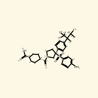 Nc1ccc(S(=O)(=O)[C@@]2(c3ccc(C(F)(C(F)(F)F)C(F)(F)F)cc3)CCN(C(=O)[C@H]3CC[C@H](C(=O)O)CC3)C2)cc1